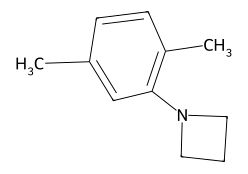 Cc1ccc(C)c(N2CCC2)c1